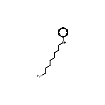 NCCCCCCCCNc1ccccc1